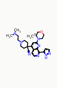 C[C@@H]1COCCN1c1cc(C2(C#N)CCN(CCN(C)C)CC2)c2ccnc(-c3ccn[nH]3)c2n1